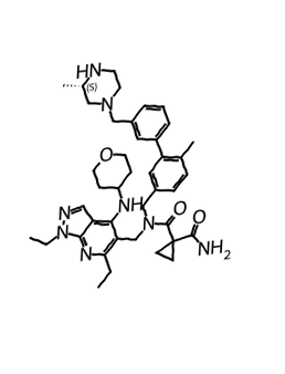 CCc1nc2c(cnn2CC)c(NC2CCOCC2)c1CN(Cc1ccc(C)c(-c2cccc(CN3CCN[C@@H](C)C3)c2)c1)C(=O)C1(C(N)=O)CC1